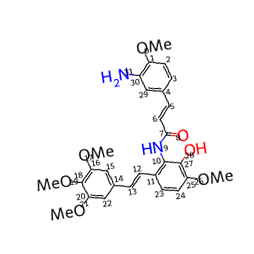 COc1ccc(/C=C/C(=O)Nc2c(C=Cc3cc(OC)c(OC)c(OC)c3)ccc(OC)c2O)cc1N